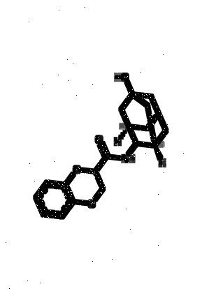 O=C(NC1[C@@H]2CC3C[C@H]1CC(O)(C3)C2)C1COc2ccccc2O1